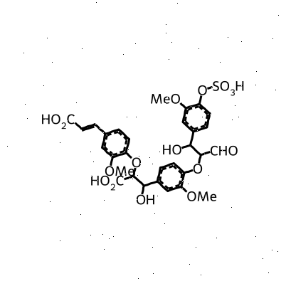 COc1cc(C(O)C(Oc2ccc(/C=C/C(=O)O)cc2OC)C(=O)O)ccc1OC(C=O)C(O)c1ccc(OS(=O)(=O)O)c(OC)c1